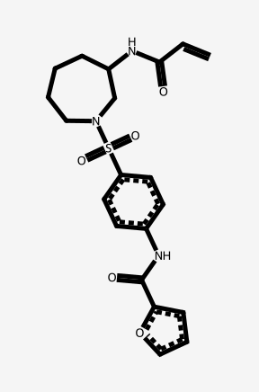 C=CC(=O)NC1CCCCN(S(=O)(=O)c2ccc(NC(=O)c3ccco3)cc2)C1